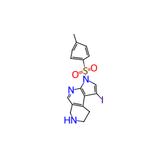 Cc1ccc(S(=O)(=O)n2cc(I)c3c4c(cnc32)CNCC4)cc1